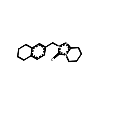 O=c1n(Cc2ccc3c(c2)CCCC3)nc2n1CCCC2